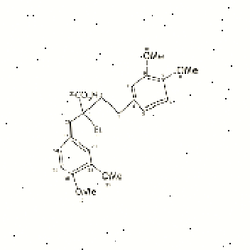 CCC(CCc1ccc(OC)c(OC)c1)(Cc1ccc(OC)c(OC)c1)C(=O)O